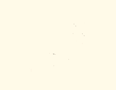 O=S(=O)(Nc1nccs1)c1ccc2c(c1)OCC[C@H]2Oc1ccc(Cl)cc1Cl